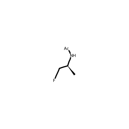 CC(=O)N[C@@H](C)CF